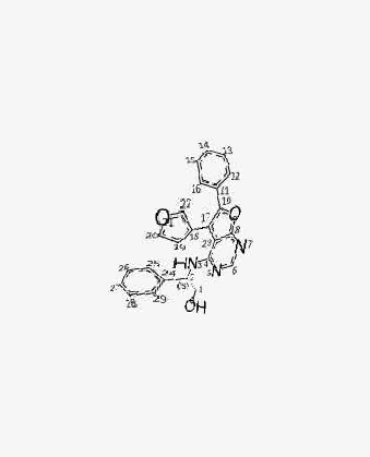 OC[C@@H](Nc1ncnc2oc(-c3ccccc3)c(-c3ccoc3)c12)c1ccccc1